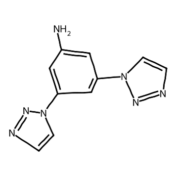 Nc1cc(-n2ccnn2)cc(-n2ccnn2)c1